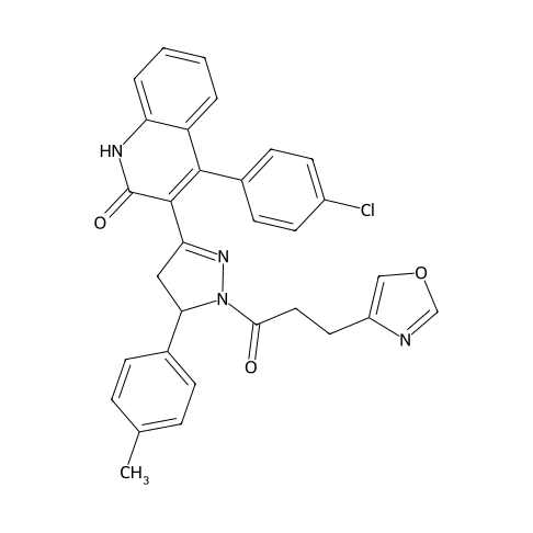 Cc1ccc(C2CC(c3c(-c4ccc(Cl)cc4)c4ccccc4[nH]c3=O)=NN2C(=O)CCc2cocn2)cc1